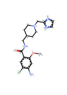 COc1cc(N)c(Cl)cc1C(=O)NCC1CCN(Cc2ncc[nH]2)CC1